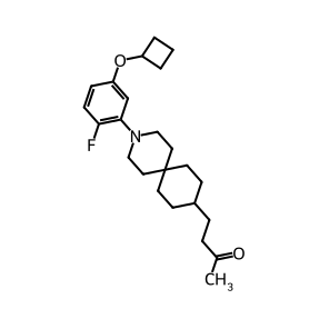 CC(=O)CCC1CCC2(CC1)CCN(c1cc(OC3CCC3)ccc1F)CC2